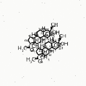 C#C[C@@]1(O)CC[C@@]2(C)[C@@H](CC[C@@H]3[C@@H]2CC[C@]2(C)[C@@H](C(C)=O)CC[C@@H]32)C1.C#C[C@@]1(O)CC[C@@]2(C)[C@@H](CC[C@@H]3[C@@H]2CC[C@]2(C)[C@@H](C(C)=O)CC[C@@H]32)C1